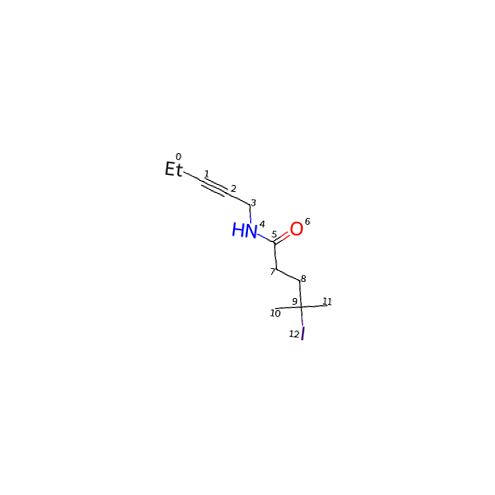 CCC#CCNC(=O)CCC(C)(C)I